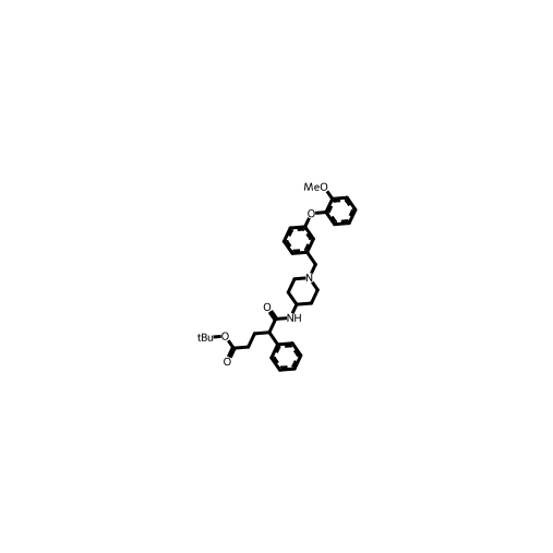 COc1ccccc1Oc1cccc(CN2CCC(NC(=O)C(CCC(=O)OC(C)(C)C)c3ccccc3)CC2)c1